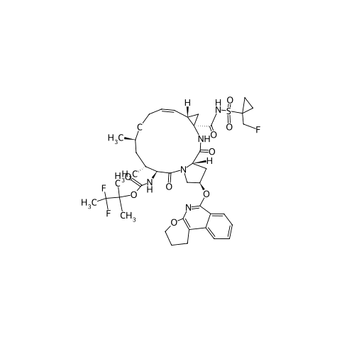 C[C@H]1CC/C=C\[C@@H]2C[C@@]2(C(=O)NS(=O)(=O)C2(CF)CC2)NC(=O)[C@@H]2C[C@@H](Oc3nc4c(c5ccccc35)CCCO4)CN2C(=O)[C@@H](NC(=O)OC(C)(C)C(C)(F)F)[C@H](C)C1